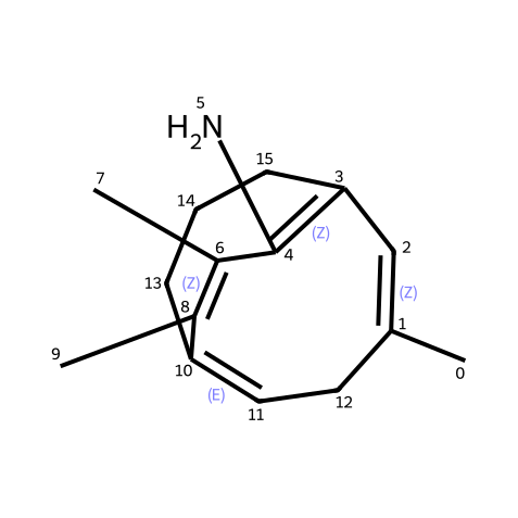 C/C1=C/C2=C(N)/C(C)=C(C)\C(=C\C1)CCC2